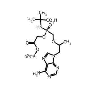 CCCCCOC(=O)COP(=O)(COC(C)Cn1cnc2c(N)ncnc21)NC(C)(C)C(=O)O